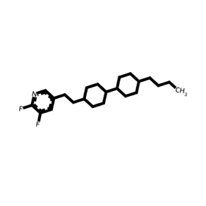 CCCCC1CCC(C2CCC(CCc3cnc(F)c(F)c3)CC2)CC1